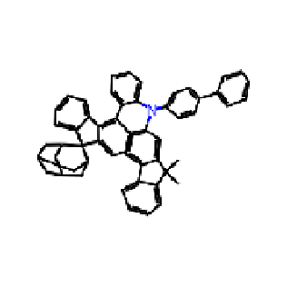 CC1(C)c2ccccc2-c2ccc(N(c3ccc(-c4ccccc4)cc3)c3ccccc3-c3cccc4c3-c3ccccc3C43C4CC5CC(C4)CC3C5)cc21